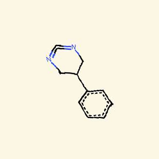 C1=NCC(c2ccccc2)CN=1